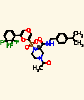 CC(=O)N1CCN(S(=O)(=O)C2=COC=C(C3=CC=CC(F)(F)C3(F)F)O2)[C@@H](C(=O)NCc2ccc(C(C)C)cc2)C1